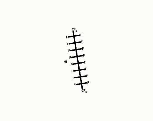 FC(F)(F)C(F)(F)C(F)(F)C(F)(F)C(F)(F)C(F)(F)C(F)(F)C(F)(F)C(F)(F)C(F)(F)F.I